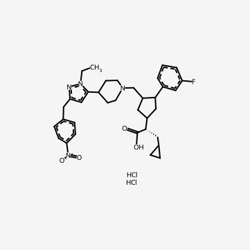 CCn1nc(Cc2ccc([N+](=O)[O-])cc2)cc1C1CCN(CC2CC([C@H](CC3CC3)C(=O)O)CC2c2cccc(F)c2)CC1.Cl.Cl